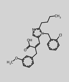 CCCCc1ncc(C=C(Cc2cccc(OC)c2)C(=O)O)n1Cc1ccccc1Cl